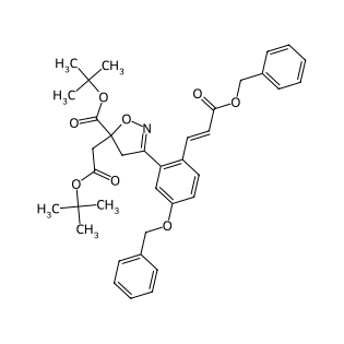 CC(C)(C)OC(=O)CC1(C(=O)OC(C)(C)C)CC(c2cc(OCc3ccccc3)ccc2C=CC(=O)OCc2ccccc2)=NO1